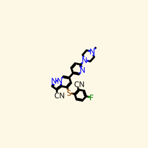 CN1CCN(c2ccc(-c3cc(Sc4ccc(F)cc4C#N)c4c(C#N)cnn4c3)cn2)CC1